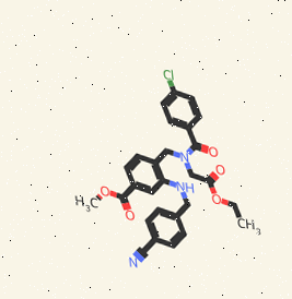 CCOC(=O)CN(Cc1ccc(C(=O)OC)cc1NCc1ccc(C#N)cc1)C(=O)c1ccc(Cl)cc1